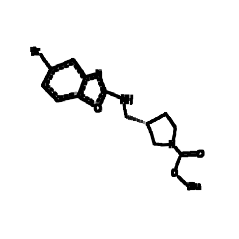 CC(C)(C)OC(=O)N1CC[C@@H](CNc2nc3cc(Br)ccc3o2)C1